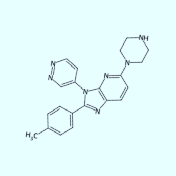 Cc1ccc(-c2nc3ccc(N4CCNCC4)nc3n2-c2ccnnc2)cc1